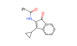 CC(C)C(=O)NC1=C(C2CC2)c2ccccc2C1=O